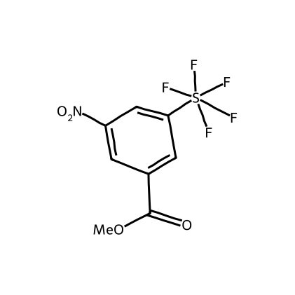 COC(=O)c1cc([N+](=O)[O-])cc(S(F)(F)(F)(F)F)c1